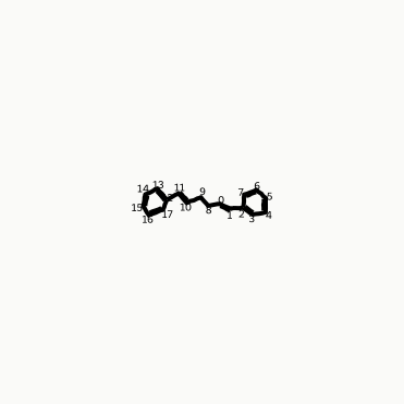 C(=Cc1ccccc1)CCC=Cc1ccccc1